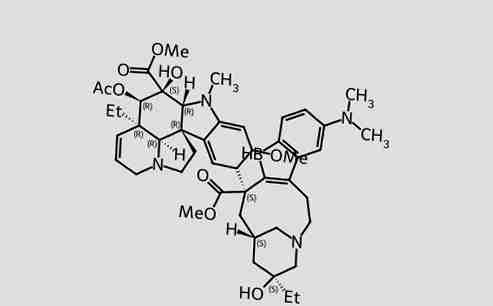 CC[C@]1(O)C[C@H]2CN(CCC3=C(Bc4ccc(N(C)C)cc43)[C@@](C(=O)OC)(C3C=C4C(=CC3OC)N(C)[C@H]3[C@@](O)(C(=O)OC)[C@H](OC(C)=O)[C@]5(CC)C=CCN6CC[C@]43[C@@H]65)C2)C1